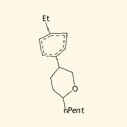 CCCCCC1CCC(c2ccc(CC)cc2)CO1